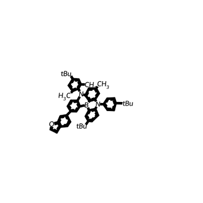 Cc1cc2c3c(c1)N(c1c(C)cc(C(C)(C)C)cc1C)c1ccc(-c4ccc5ccoc5c4)cc1B3c1cc(C(C)(C)C)ccc1N2c1ccc(C(C)(C)C)cc1